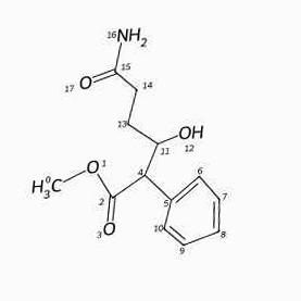 COC(=O)C(c1ccccc1)C(O)CCC(N)=O